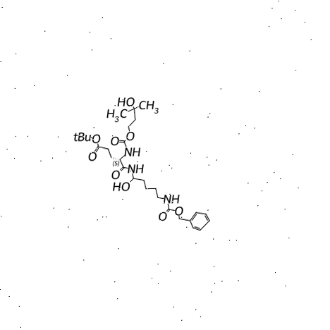 CC(C)(O)CCOC(=O)N[C@@H](CCC(=O)OC(C)(C)C)C(=O)NC(O)CCCCNC(=O)OCc1ccccc1